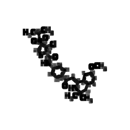 COc1ccc2c(c1)C(=CC(=O)c1ccc(NC(=O)c3scc(S(=O)(=O)C(C)C)c3Cl)cc1)NC(C)(C)C2